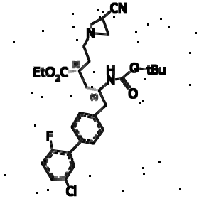 CCOC(=O)[C@H](CCN1CC(C#N)C1)C[C@@H](Cc1ccc(-c2cc(Cl)ccc2F)cc1)NC(=O)OC(C)(C)C